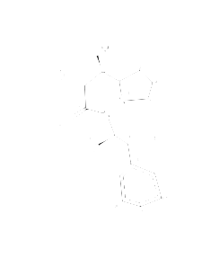 CO[C@@H](C1CCCN1)[C@@H](C)C(=O)N[C@H](C)[C@H](O)c1ccccc1